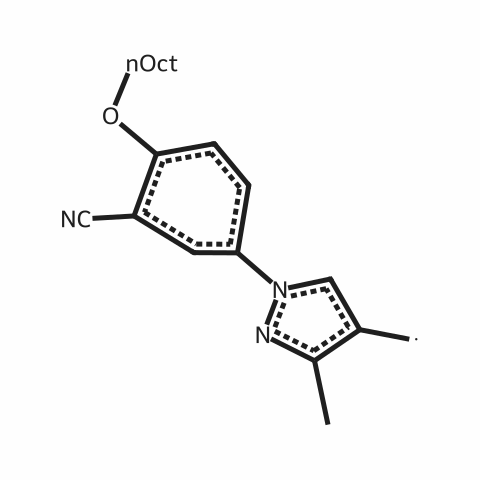 [CH2]c1cn(-c2ccc(OCCCCCCCC)c(C#N)c2)nc1C